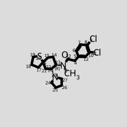 CN(C(=O)Cc1ccc(Cl)c(Cl)c1)[C@@H]1CCC2(CCCS2)C[C@H]1N1CCCC1